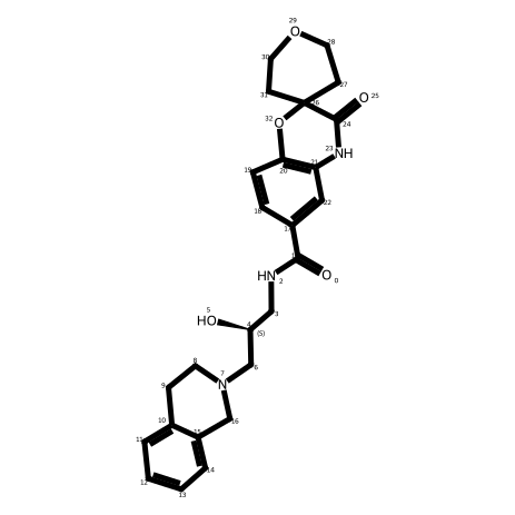 O=C(NC[C@H](O)CN1CCc2ccccc2C1)c1ccc2c(c1)NC(=O)C1(CCOCC1)O2